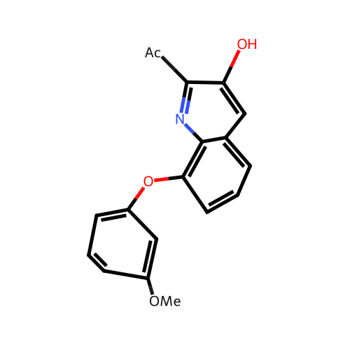 COc1cccc(Oc2cccc3cc(O)c(C(C)=O)nc23)c1